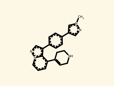 Cn1cc(-c2ccc(-c3cnn4cccc(C5=CCNCC5)c34)cc2)cn1